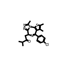 Cc1sc2c(c1C)C(c1ccc(Cl)cc1)=NC(CC(=O)C(C)C)c1nnc(C)n1-2